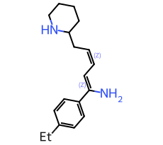 CCc1ccc(/C(N)=C/C=C\CC2CCCCN2)cc1